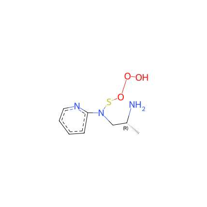 C[C@@H](N)CN(SOOO)c1ccccn1